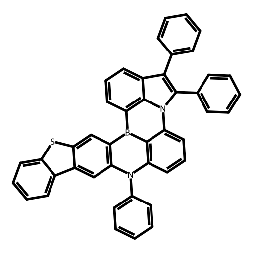 c1ccc(-c2c(-c3ccccc3)n3c4c(cccc24)B2c4cc5sc6ccccc6c5cc4N(c4ccccc4)c4cccc-3c42)cc1